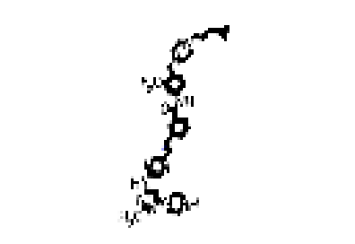 Cc1nc(Nc2cnc(/C=C/c3cccc(C(=O)Nc4ccc(CN5CCN(CCCC6CC6)CC5)c(C(F)(F)F)c4)c3)cn2)cc(N2CCNCC2)n1